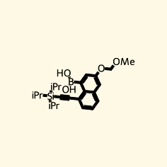 COCOc1cc(B(O)O)c2c(C#C[Si](C(C)C)(C(C)C)C(C)C)cccc2c1